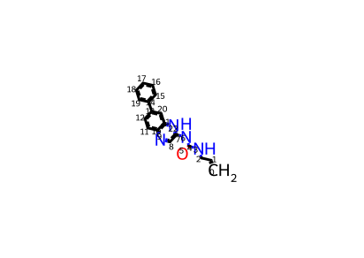 C=CCNC(=O)Nc1cnc2ccc(-c3ccccc3)cc2n1